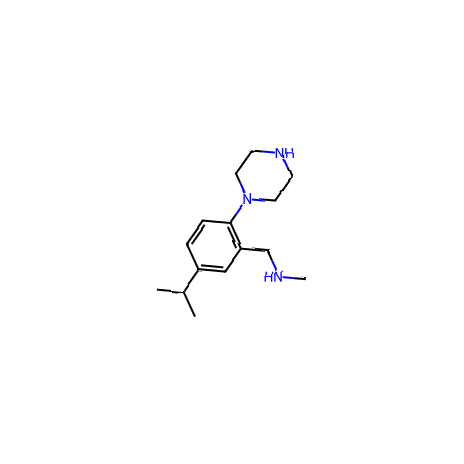 CNCc1cc(C(C)C)ccc1N1CCNCC1